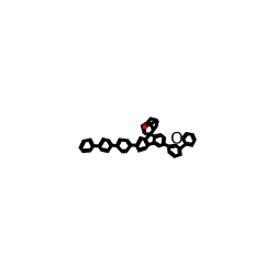 c1ccc(-c2ccc(-c3ccc(-c4ccc5c(c4)C4(c6ccc(-c7cccc8c7oc7ccccc78)cc6-5)C5CC6CC(C5)CC4C6)cc3)cc2)cc1